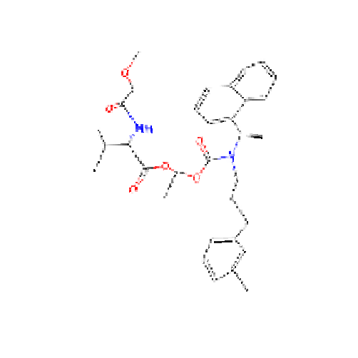 COCC(=O)N[C@H](C(=O)OC(C)OC(=O)N(CCCc1cccc(C)c1)[C@H](C)c1cccc2ccccc12)C(C)C